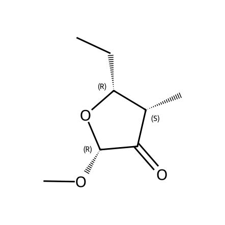 CC[C@H]1O[C@@H](OC)C(=O)[C@H]1C